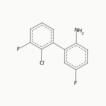 Nc1ccc(F)cc1-c1cccc(F)c1Cl